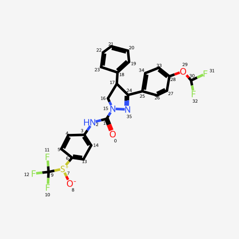 O=C(Nc1ccc([S+]([O-])C(F)(F)F)cc1)N1CC(c2ccccc2)C(c2ccc(OC(F)F)cc2)=N1